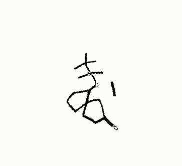 C=C.CC(C)(C)[Si](C)(C)OC1CCCC12CCC(=O)CC2